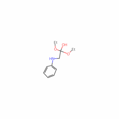 CCOC(O)(CNc1ccccc1)OCC